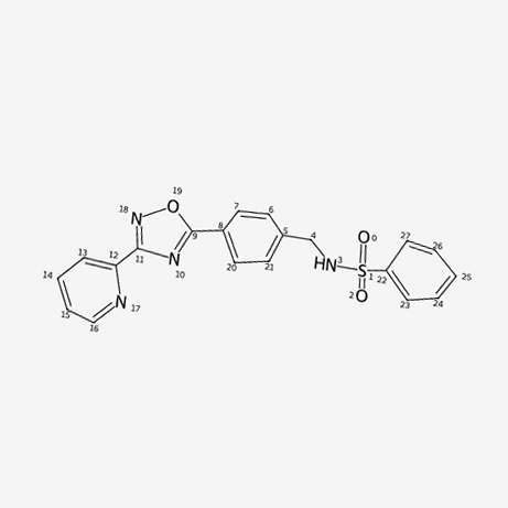 O=S(=O)(NCc1ccc(-c2nc(-c3ccccn3)no2)cc1)c1ccccc1